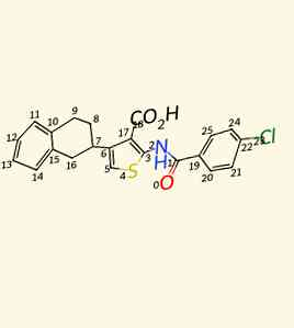 O=C(Nc1scc(C2CCc3ccccc3C2)c1C(=O)O)c1ccc(Cl)cc1